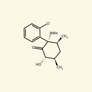 CN[C@@]1(c2ccccc2Cl)C(=O)[C@@H](O)[C@H](C)C[C@@H]1C